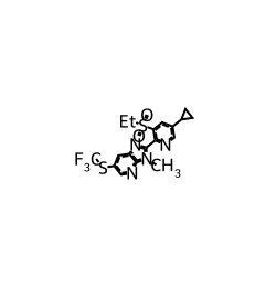 CCS(=O)(=O)c1cc(C2CC2)cnc1-c1nc2cc(SC(F)(F)F)cnc2n1C